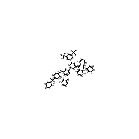 CC(C)(C)c1cc(-c2cc(-c3cc4c5c(c3)Sc3ccc(C(C)(C)c6ccccc6)cc3B5c3ccccc3S4)cc(-c3c4ccccc4c(-c4ccccc4)c4ccccc34)c2)cc(C(C)(C)C)c1